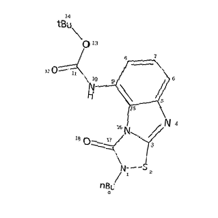 CCCCn1sc2nc3cccc(NC(=O)OC(C)(C)C)c3n2c1=O